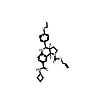 C=CCOC(=O)N1CC[C@H]2C(c3ccc(OCC)cc3)Nc3ccc(C(=O)NC4CCC4)cc3[C@H]21